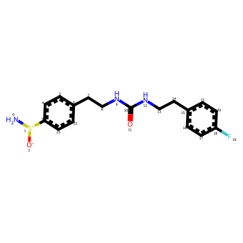 N[S+]([O-])c1ccc(CCNC(=O)NCCc2ccc(F)cc2)cc1